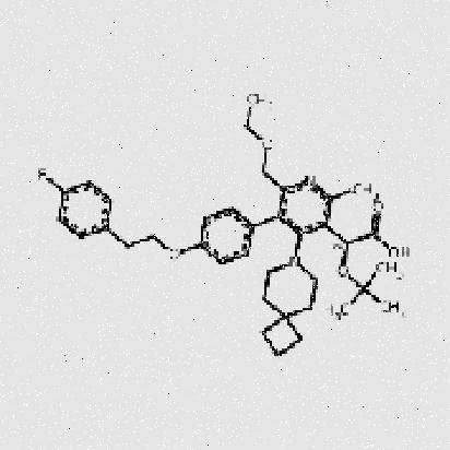 CCOCc1nc(C)c([C@H](OC(C)(C)C)C(=O)O)c(N2CCC3(CCC3)CC2)c1-c1ccc(OCCc2ccc(F)cc2)cc1